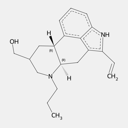 C=Cc1[nH]c2cccc3c2c1C[C@@H]1[C@@H]3CC(CO)CN1CCC